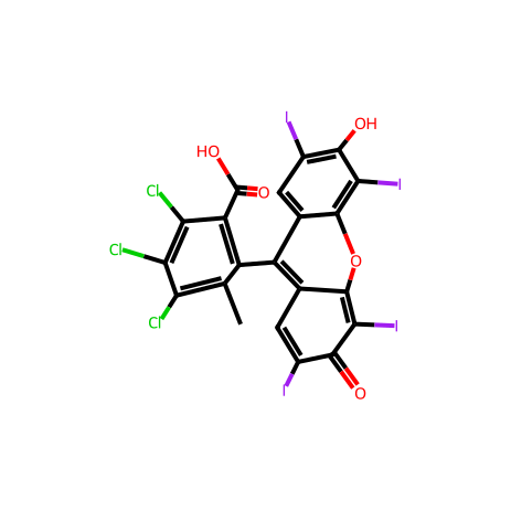 Cc1c(Cl)c(Cl)c(Cl)c(C(=O)O)c1-c1c2cc(I)c(=O)c(I)c-2oc2c(I)c(O)c(I)cc12